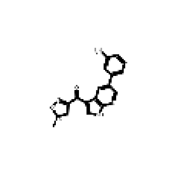 C[C@@H]1CC(C(=O)c2c[nH]c3ncc(-c4cccc(N)c4)cc23)=NO1